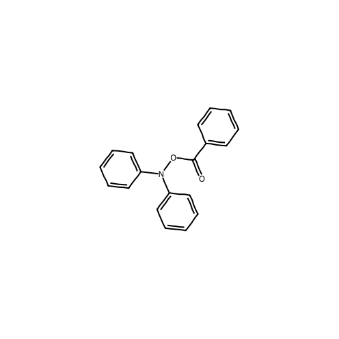 O=C(ON(c1ccccc1)c1ccccc1)c1ccccc1